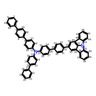 c1ccc(-c2ccc(-c3ccc(N(c4ccc(-c5ccccc5)cc4)c4ccc(-c5ccc(-c6cc7c8ccccc8n8c9ccccc9c(c6)c78)cc5)cc4)cc3)cc2)cc1